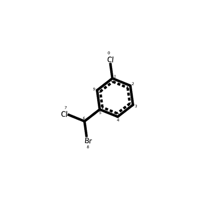 Clc1cccc(C(Cl)Br)c1